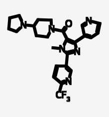 Cn1c(-c2ccc(C(F)(F)F)nc2)nc(-c2cccnc2)c1C(=O)N1CCC(N2CCCC2)CC1